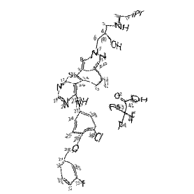 CC(C)CNC[C@@H](O)Cn1cc2c(n1)CCc1c-2sc2ncnc(Nc3ccc(OCc4cccc(F)c4)c(Cl)c3)c12.O=C(O)C(F)(F)F